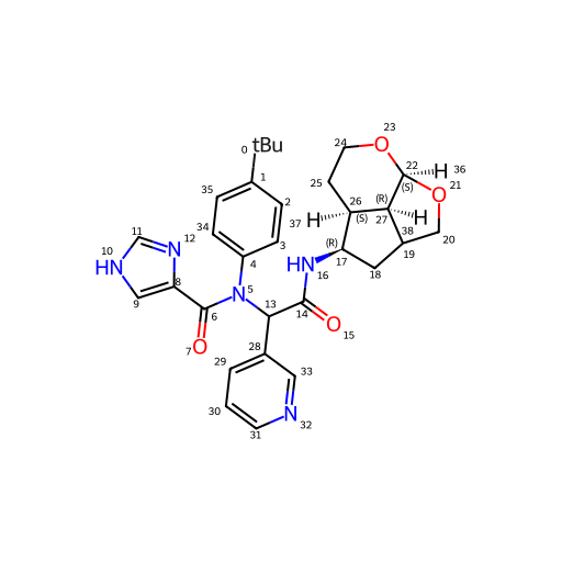 CC(C)(C)c1ccc(N(C(=O)c2c[nH]cn2)C(C(=O)N[C@@H]2CC3CO[C@@H]4OCC[C@H]2[C@H]34)c2cccnc2)cc1